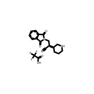 N#CC(CN1C(=O)c2ccccc2C1=O)=C1CCCNC1.O=C(O)C(F)(F)F